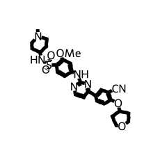 COc1cc(Nc2nccc(-c3ccc(OC4CCOCC4)c(C#N)c3)n2)ccc1S(=O)(=O)NC1CCN(C)CC1